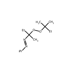 CCC(C)(C)OOC(C)(CC)N=NC(C)C